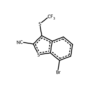 N#Cc1sc2c(Br)cccc2c1SC(F)(F)F